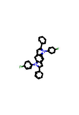 Fc1ccc(-n2c(-c3ccccc3)cc3cc4c(cc(-c5ccccc5)n4-c4ccc(F)cc4)cc32)cc1